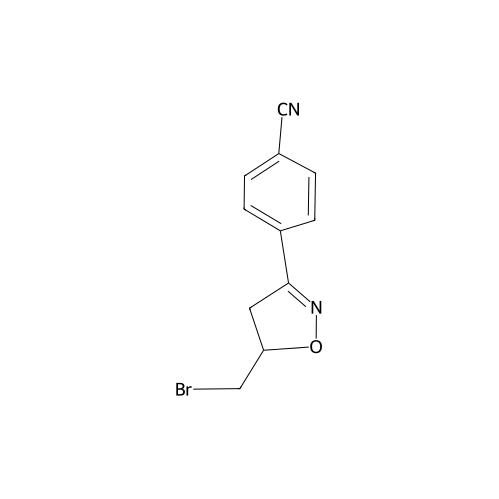 N#Cc1ccc(C2=NOC(CBr)C2)cc1